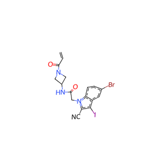 C=CC(=O)N1CC(NC(=O)Cn2c(C#N)c(I)c3cc(Br)ccc32)C1